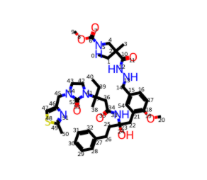 CCC(C)(CNC(=O)OC)C(=O)NNCc1ccc(OC)c(CC(O)(CCc2ccccc2)NC(=O)CC(C)(CC)N2CCN(Cc3csc(C)n3)C2=O)c1